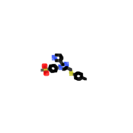 Cc1ccc(SCc2cn(-c3ccc(S(C)(=O)=O)cc3)c(-c3cccnc3)n2)cc1